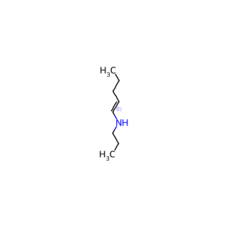 CCC/C=C/NCCC